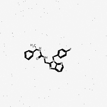 C[C@H](NC(=O)NCc1nc2cccnc2n1Cc1ccc(F)cc1)c1ccccc1